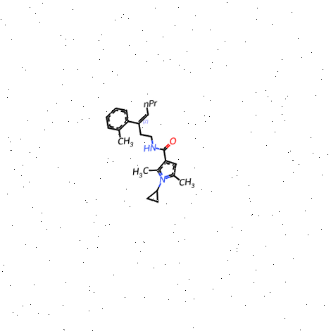 CCC/C=C(/CCNC(=O)c1cc(C)n(C2CC2)c1C)c1ccccc1C